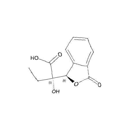 CC[C@@](O)(C(=O)O)[C@@H]1OC(=O)c2ccccc21